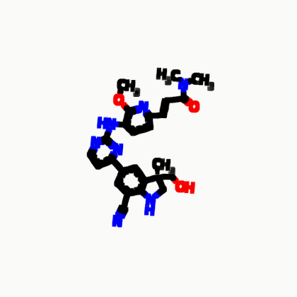 COc1nc(/C=C/C(=O)N(C)C)ccc1Nc1nccc(-c2cc(C#N)c3c(c2)[C@@](C)(CO)CN3)n1